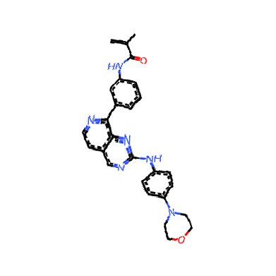 C=C(C)C(=O)Nc1cccc(-c2nccc3cnc(Nc4ccc(N5CCOCC5)cc4)nc23)c1